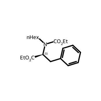 CCCCCCN(C(=O)OCC)[C@@H](Cc1ccccc1)C(=O)OCC